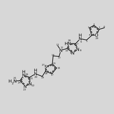 Cc1ccc(CNc2nnc(N(C)CCc3ccc(CNc4nnc(N)[nH]4)s3)[nH]2)o1